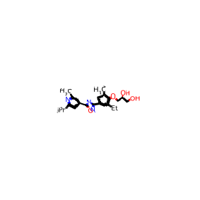 CCc1cc(-c2noc(-c3cc(C)nc(C(C)C)c3)n2)cc(C)c1OC[C@@H](O)CO